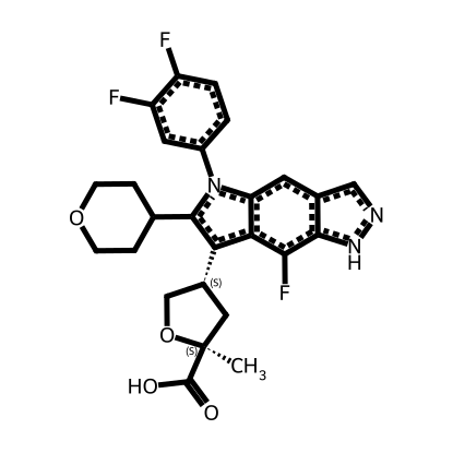 C[C@@]1(C(=O)O)C[C@@H](c2c(C3CCOCC3)n(-c3ccc(F)c(F)c3)c3cc4cn[nH]c4c(F)c23)CO1